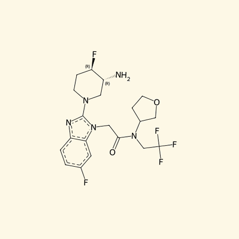 N[C@@H]1CN(c2nc3ccc(F)cc3n2CC(=O)N(CC(F)(F)F)C2CCOC2)CC[C@H]1F